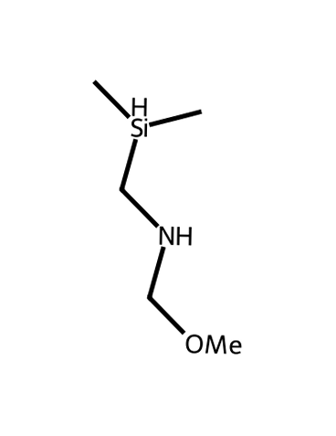 COCNC[SiH](C)C